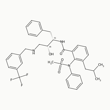 CC(C)Cc1cccc(C(=O)N[C@@H](Cc2ccccc2)[C@H](O)CNCc2cccc(C(F)(F)F)c2)c1N(c1ccccc1)S(C)(=O)=O